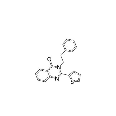 O=c1c2ccccc2nc(-c2cccs2)n1CCc1ccccc1